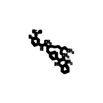 C=C(Nc1ccc(F)c([N+](=O)[O-])c1)N(CCCN(CC)CC)Cc1ccc(C(=O)Nc2ccccc2N)nc1